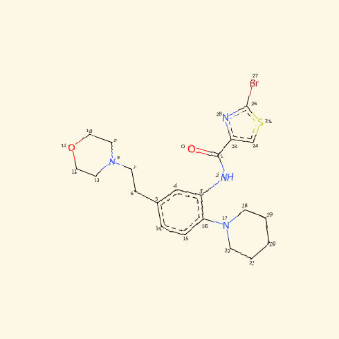 O=C(Nc1cc(CCN2CCOCC2)ccc1N1CCCCC1)c1csc(Br)n1